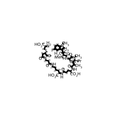 CN[C@H](C(=O)NC(C(=O)N(C)[C@H](/C=C(\C)C(=O)N[C@H](CCC(=O)N[C@@H](CCCCNC(=O)CCN1C(=O)CC(SC[C@H](N)C(=O)O)C1=O)C(=O)O)C(=O)O)C(C)C)C(C)(C)C)C(C)(C)c1cn(C)c2ccc(F)cc12